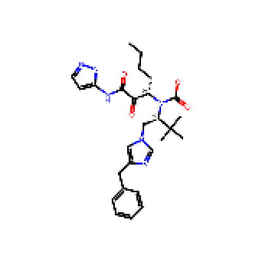 CCCC[C@@H](C(=O)C(=O)Nc1ccn[nH]1)N(C(=O)O)[C@H](Cn1cnc(Cc2ccccc2)c1)C(C)(C)C